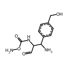 NOC(=O)NC(C=O)C(N)c1ccc(CO)cc1